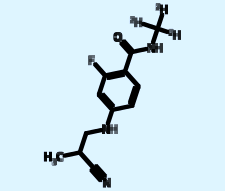 [2H]C([2H])([2H])NC(=O)c1ccc(NCC(C)C#N)cc1F